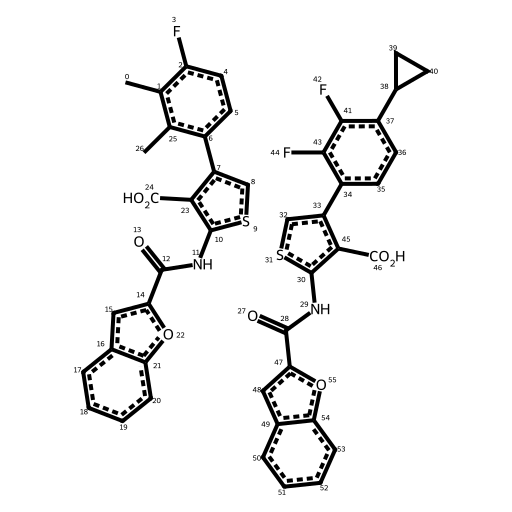 Cc1c(F)ccc(-c2csc(NC(=O)c3cc4ccccc4o3)c2C(=O)O)c1C.O=C(Nc1scc(-c2ccc(C3CC3)c(F)c2F)c1C(=O)O)c1cc2ccccc2o1